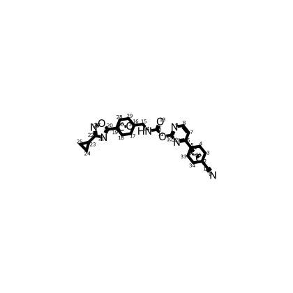 N#CC12CCC(c3ccnc(OC(=O)NCC45CCC(c6nc(C7CC7)no6)(CC4)CC5)n3)(CC1)CC2